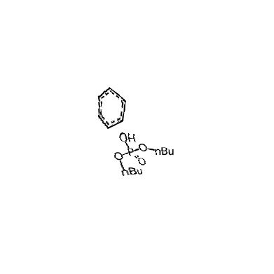 CCCCOP(=O)(O)OCCCC.c1ccccc1